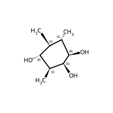 C[C@H]1[C@H](C)[C@@H](O)[C@@H](O)[C@@H](C)[C@@H]1O